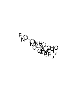 CC(C(=O)Nc1ccc(-c2ccc(F)nc2)cn1)N1CCCC(C=O)=C1C(=O)N(C)C